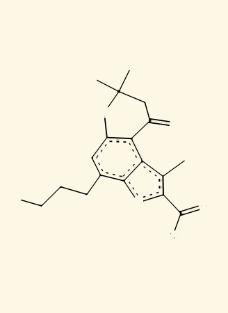 CCCCc1cc2c(c3c(C)c(C(N)=O)oc13)C(=O)CC(C)(C)O2